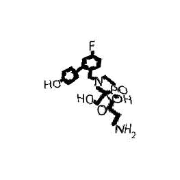 NCCCC[C@@]1(C(=O)O)CN(Cc2ccc(F)cc2-c2ccc(O)cc2)CCP1(=O)O